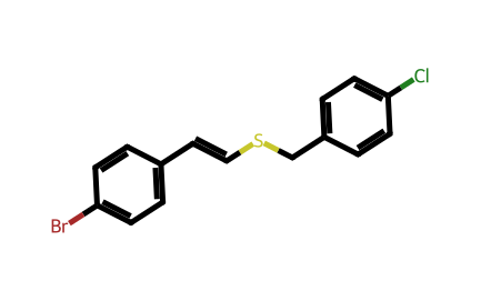 Clc1ccc(CS/C=C/c2ccc(Br)cc2)cc1